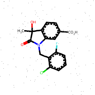 CC1(O)C(=O)N(Cc2c(F)cccc2Cl)c2cc(C(=O)O)ccc21